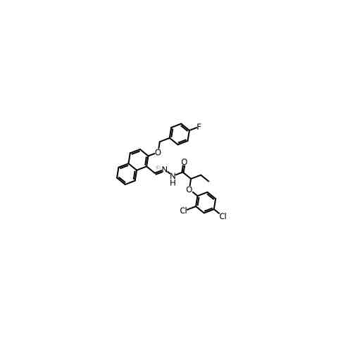 CCC(Oc1ccc(Cl)cc1Cl)C(=O)N/N=C/c1c(OCc2ccc(F)cc2)ccc2ccccc12